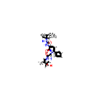 CC(=O)OCC(COC(C)=O)(COC(C)=O)NC(=O)Nc1ccc(-c2ccccc2)n(CC(=O)NCC(C(C)(C)O)C(F)(F)F)c1=O